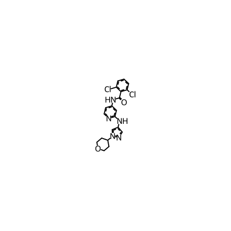 O=C(Nc1ccnc(Nc2cnn(C3CCOCC3)c2)c1)c1c(Cl)cccc1Cl